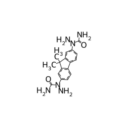 CC1(C)c2cc(N(N)C(N)=O)ccc2-c2ccc(N(N)C(N)=O)cc21